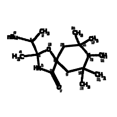 CCCCC(C)C1(C)NC(=O)C2(CC(C)(C)N(O)C(C)(C)C2)O1